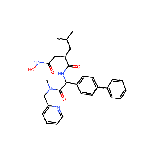 CC(C)C[C@H](CC(=O)NO)C(=O)NC(C(=O)N(C)Cc1ccccn1)c1ccc(-c2ccccc2)cc1